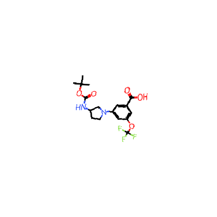 CC(C)(C)OC(=O)NC1CCN(c2cc(OC(F)(F)F)cc(C(=O)O)c2)C1